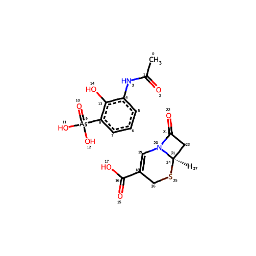 CC(=O)Nc1cccc([As](=O)(O)O)c1O.O=C(O)C1=CN2C(=O)C[C@H]2SC1